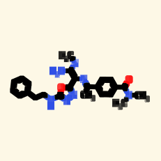 C=N/C(N)=C(\N=C(/C)c1ccc(C(=O)N(C)C)cc1)c1nnc(NCCc2ccccc2)o1